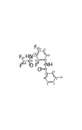 Cc1cccc(C(=O)Nc2ccc(F)c(NC(=O)C(F)F)c2F)c1